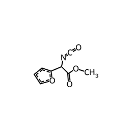 COC(=O)C(N=C=O)c1ccco1